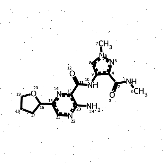 CNC(=O)c1nn(C)cc1NC(=O)c1nc(C2CCCO2)cnc1N